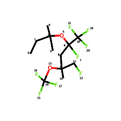 CCC(C)(C)OC(F)(CC(C)(CF)OC(F)(F)F)C(F)(F)F